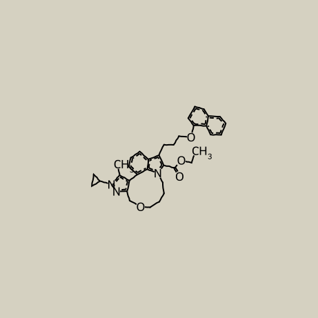 CCOC(=O)c1c(CCCOc2cccc3ccccc23)c2cccc3c2n1CCCCOCc1nn(C2CC2)c(C)c1-3